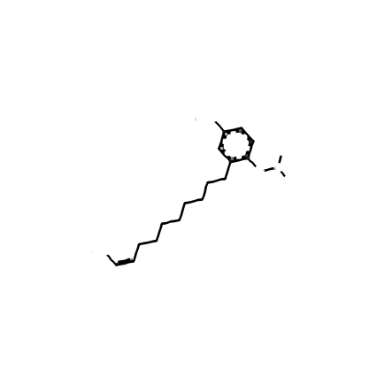 CCCCCCCC/C=C\CCCCCCCCc1cc(CCCCC)ccc1OP(O)O